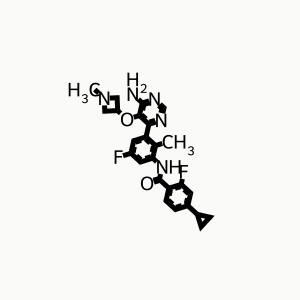 Cc1c(NC(=O)c2ccc(C3CC3)cc2F)cc(F)cc1-c1ncnc(N)c1OC1CN(C)C1